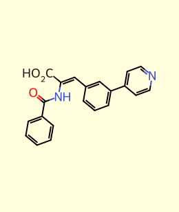 O=C(O)/C(=C/c1cccc(-c2ccncc2)c1)NC(=O)c1ccccc1